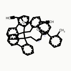 C#CCOC(/C=C\CC1(C2(Cc3c(OCC#C)ccc4ccccc34)c3ccccc3-c3ccccc32)c2ccccc2-c2ccccc21)=C/c1ccccc1C